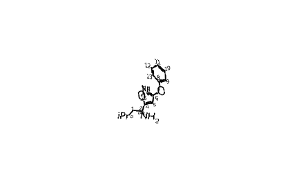 CC(C)C[C@H](N)c1cc(Oc2ccccc2)no1